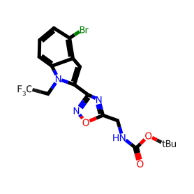 CC(C)(C)OC(=O)NCc1nc(-c2cc3c(Br)cccc3n2CC(F)(F)F)no1